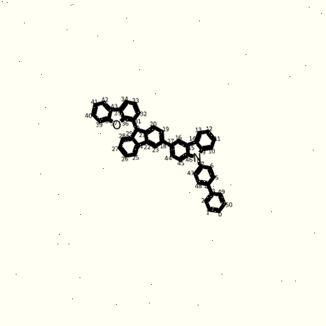 c1ccc(-c2ccc(-n3c4ccccc4c4cc(-c5ccc6c(c5)-c5ccccc5C6c5cccc6c5oc5ccccc56)ccc43)cc2)cc1